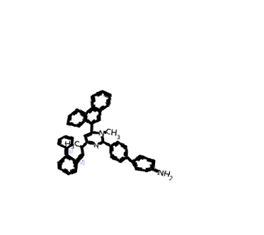 CC(/C=c1/cccc/c1=C1\C=CC=CC1)C1=NC(c2ccc(-c3ccc(N)cc3)cc2)N(C)C(c2cc3ccccc3c3ccccc23)=C1